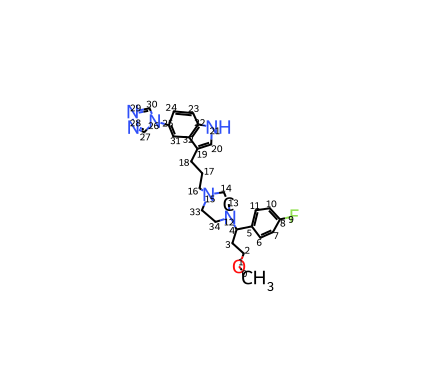 COCCC(c1ccc(F)cc1)N1CCN(CCCc2c[nH]c3ccc(-n4cnnc4)cc23)CC1